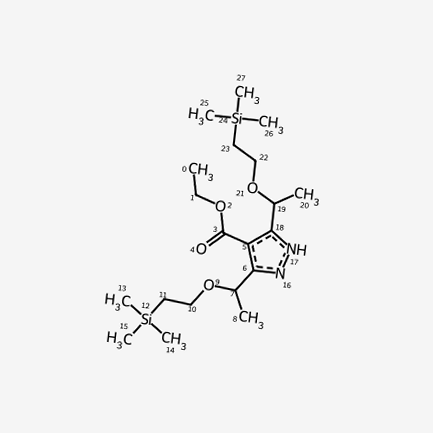 CCOC(=O)c1c(C(C)OCC[Si](C)(C)C)n[nH]c1C(C)OCC[Si](C)(C)C